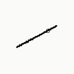 CCCCCCCCCCCCCCCCCCCCCCCCCCCCOCCCCCCCC